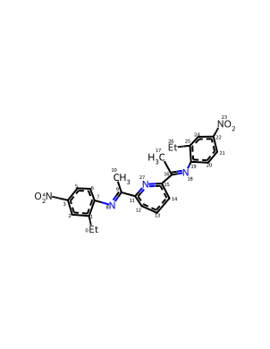 CCc1cc([N+](=O)[O-])ccc1/N=C(\C)c1cccc(/C(C)=N/c2ccc([N+](=O)[O-])cc2CC)n1